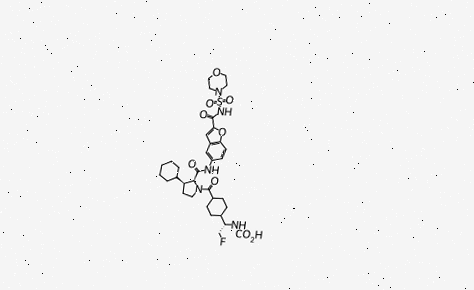 O=C(O)N[C@H](CF)C1CCC(C(=O)N2CC[C@@H](C3CCCCC3)[C@H]2C(=O)Nc2ccc3oc(C(=O)NS(=O)(=O)N4CCOCC4)cc3c2)CC1